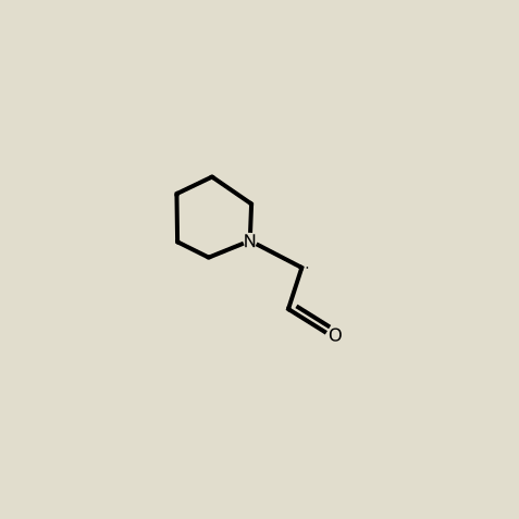 O=C[CH]N1CCCCC1